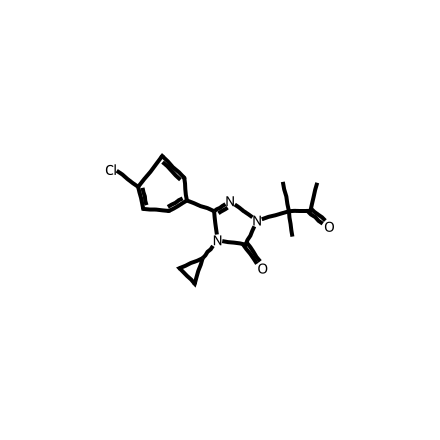 CC(=O)C(C)(C)n1nc(-c2ccc(Cl)cc2)n(C2CC2)c1=O